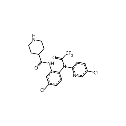 O=C(Nc1cc(Cl)ccc1N(C(=O)C(F)(F)F)c1ccc(Cl)cn1)C1CCNCC1